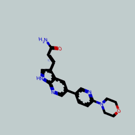 NC(=O)/C=C/c1c[nH]c2ncc(-c3ccc(N4CCOCC4)nc3)cc12